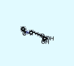 O=C(/C=C/c1ccc(CCCCCCOc2cc(O)cc(O)c2)cc1)c1ccccc1